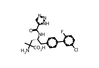 CC(N)(C[C@@H](Cc1ccc(-c2cc(Cl)ccc2F)cc1)NC(=O)c1cnn[nH]1)C(=O)O